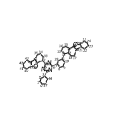 c1ccc(-c2nc(-c3cccc(-c4cccc5c4ccc4c6ccccc6oc54)c3)nc(-c3cccc4c3oc3ccccc34)n2)cc1